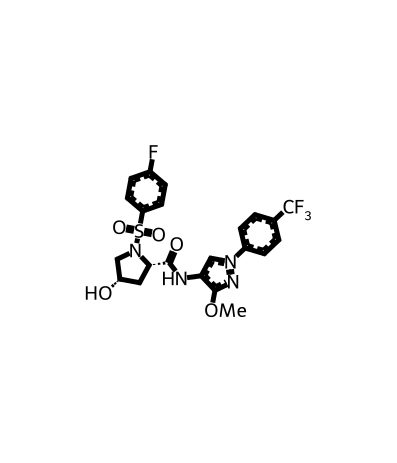 COc1nn(-c2ccc(C(F)(F)F)cc2)cc1NC(=O)[C@@H]1C[C@H](O)CN1S(=O)(=O)c1ccc(F)cc1